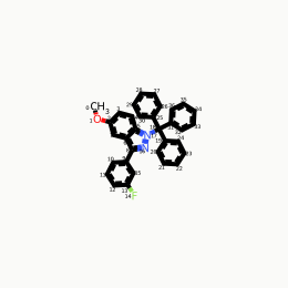 COc1ccc2c(c1)c(-c1cccc(F)c1)nn2C(c1ccccc1)(c1ccccc1)c1ccccc1